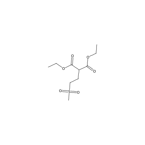 CCOC(=O)C(CCS(C)(=O)=O)C(=O)OCC